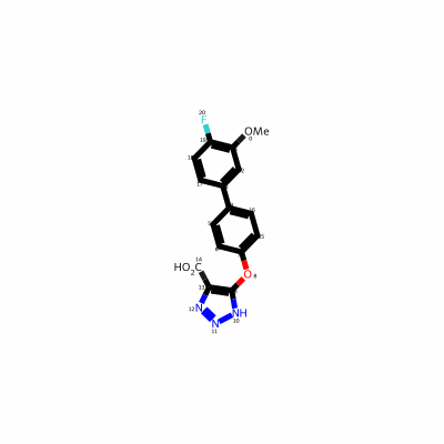 COc1cc(-c2ccc(Oc3[nH]nnc3C(=O)O)cc2)ccc1F